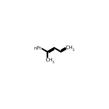 C=CC=C(C)CCC